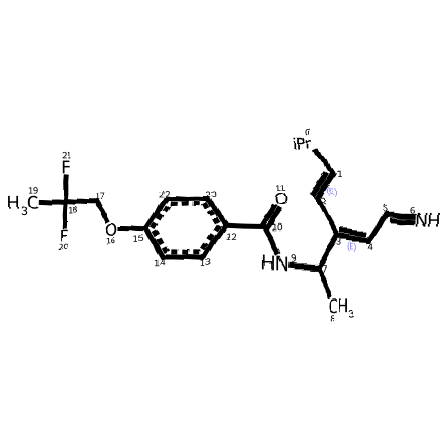 CC(C)/C=C/C(=C\C=N)C(C)NC(=O)c1ccc(OCC(C)(F)F)cc1